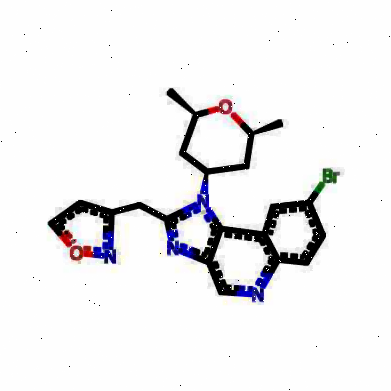 C[C@@H]1C[C@H](n2c(Cc3ccon3)nc3cnc4ccc(Br)cc4c32)C[C@H](C)O1